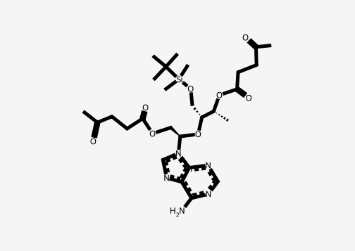 CC(=O)CCC(=O)OC[C@@H](O[C@H](CO[Si](C)(C)C(C)(C)C)[C@@H](C)OC(=O)CCC(C)=O)n1cnc2c(N)ncnc21